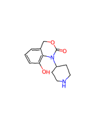 O=C1OCc2cccc(O)c2N1C1CCNCC1